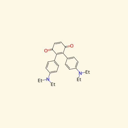 CCN(CC)c1ccc(C2=C(c3ccc(N(CC)CC)cc3)C(=O)C=CC2=O)cc1